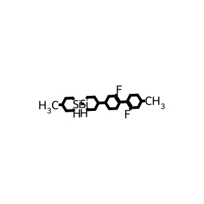 CC1CC[SiH]([SiH]2CCC(C3CCC(C4=C(F)CC(C)CC4)=C(F)C3)CC2)CC1